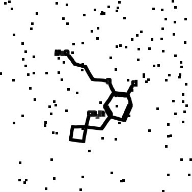 CCOC(=O)C1(Cc2ccc(Cl)c(OCCCOC)c2)CCC1